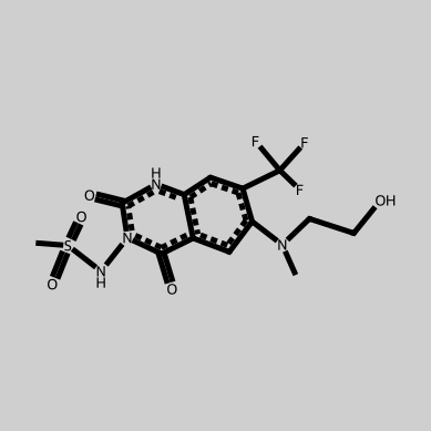 CN(CCO)c1cc2c(=O)n(NS(C)(=O)=O)c(=O)[nH]c2cc1C(F)(F)F